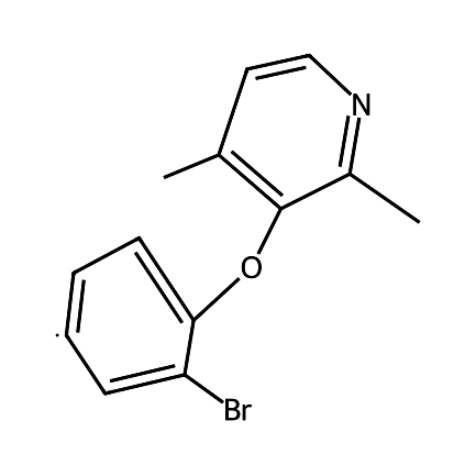 Cc1ccnc(C)c1Oc1cc[c]cc1Br